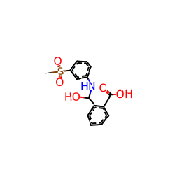 CS(=O)(=O)c1cccc(NC(O)c2ccccc2C(=O)O)c1